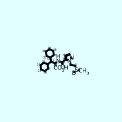 C[S+]([O-])CCn1nccc1C(=O)N[C@H](C(=O)O)C(C1CCCCC1)C1CCCCC1